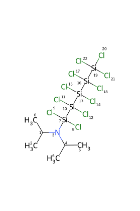 CC(C)N(C(C)C)[Si](Cl)(Cl)[Si](Cl)(Cl)[Si](Cl)(Cl)[Si](Cl)(Cl)[Si](Cl)(Cl)Cl